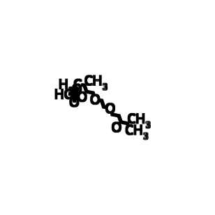 CC(C)C(=O)CCOCCOCC(OS(=O)(=O)O)C(C)C